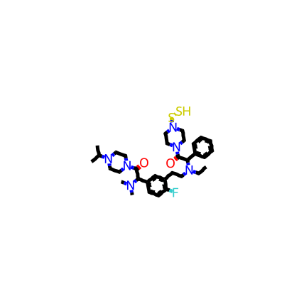 CCN(CCc1cc(C(C(=O)N2CCN(C(C)C)CC2)N(C)C)ccc1F)C(C(=O)N1CCN(SS)CC1)c1ccccc1